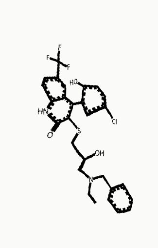 CCN(Cc1ccccc1)CC(O)CSc1c(-c2cc(Cl)ccc2O)c2cc(C(F)(F)F)ccc2[nH]c1=O